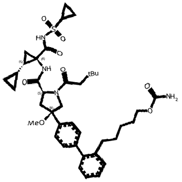 CO[C@@]1(c2ccc(-c3ccccc3CCCCCOC(N)=O)cc2)C[C@@H](C(=O)N[C@]2(C(=O)NS(=O)(=O)C3CC3)C[C@H]2C2CC2)N(C(=O)CC(C)(C)C)C1